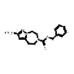 CCOC(=O)c1cc2n(n1)CCN(C(=O)OCc1ccccc1)CC2